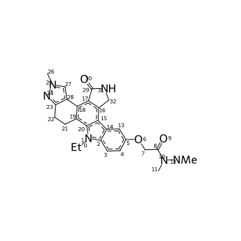 CCn1c2ccc(OCC(=O)N(C)NC)cc2c2c3c(c4c(c21)CCc1nn(C)cc1-4)C(=O)NC3